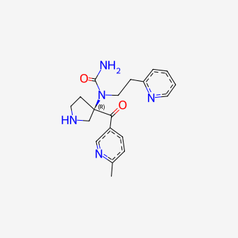 Cc1ccc(C(=O)[C@@]2(N(CCc3ccccn3)C(N)=O)CCNC2)cn1